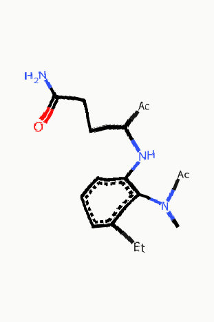 CCc1cccc(NC(CCC(N)=O)C(C)=O)c1N(C)C(C)=O